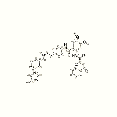 COc1cc(NC(=O)c2cc(=O)c3ccccc3o2)c(C(=O)Nc2ccc(CCN(C)Cc3cccc(-n4cnc(C)c4)c3)cc2)cc1OC